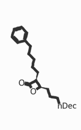 CCCCCCCCCCCCC[C@H]1OC(=O)[C@H]1CCCCCc1ccccc1